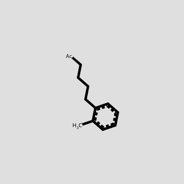 CC(=O)CCCCc1ccccc1C